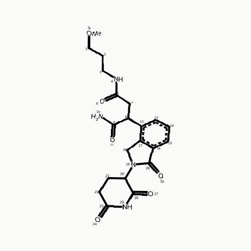 COCCCNC(=O)CC(C(N)=O)c1cccc2c1CN(C1CCC(=O)NC1=O)C2=O